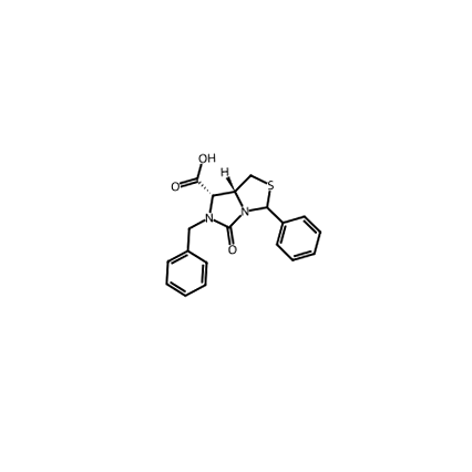 O=C(O)[C@@H]1[C@@H]2CSC(c3ccccc3)N2C(=O)N1Cc1ccccc1